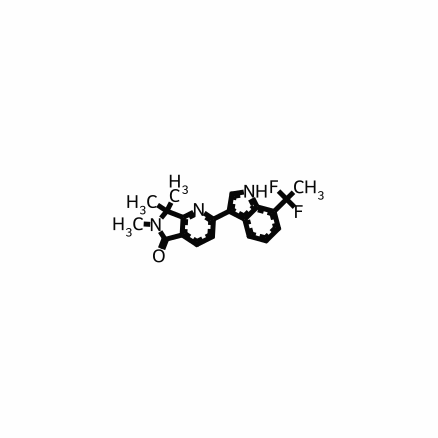 CN1C(=O)c2ccc(-c3c[nH]c4c(C(C)(F)F)cccc34)nc2C1(C)C